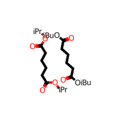 CC(C)COC(=O)CCCCC(=O)OCC(C)C.CC(C)OC(=O)CCCCC(=O)OC(C)C